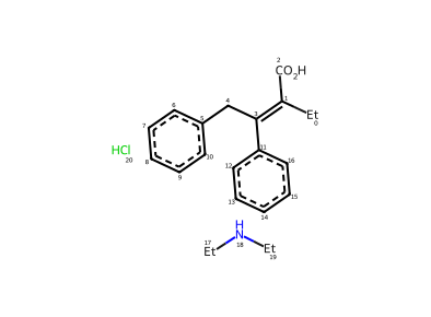 CCC(C(=O)O)=C(Cc1ccccc1)c1ccccc1.CCNCC.Cl